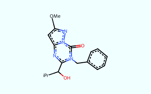 COc1cc2nc(C(O)C(C)C)n(Cc3ccccc3)c(=O)n2n1